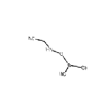 N#CCNOB(O)O